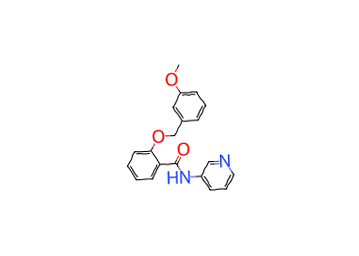 COc1cccc(COc2ccccc2C(=O)Nc2cccnc2)c1